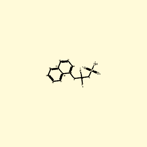 O=S(=O)(O)CC(F)(F)Cc1cccc2ccccc12